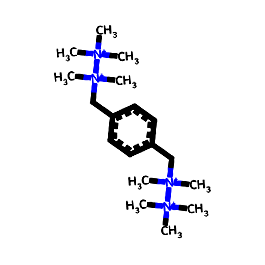 C[N+](C)(C)[N+](C)(C)Cc1ccc(C[N+](C)(C)[N+](C)(C)C)cc1